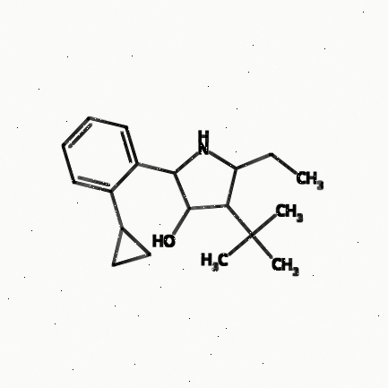 CCC1NC(c2ccccc2C2CC2)C(O)C1C(C)(C)C